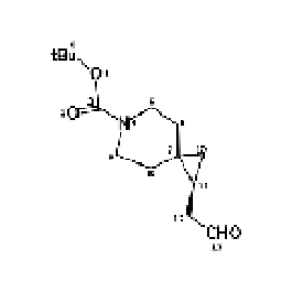 CC(C)(C)OC(=O)N1CCC2(CC1)C[C@H]2CC=O